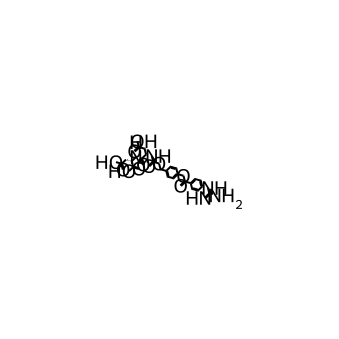 N=C(N)Nc1ccc(C(=O)Oc2ccc(COC(=O)NC(CC(=O)O)C(=O)N[C@@H](CC(=O)O)C(=O)O)cc2)cc1